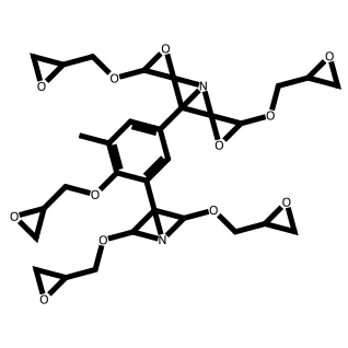 Cc1cc(C23N(C24OC4OCC2CO2)C32OC2OCC2CO2)cc(C23C(OCC4CO4)N2C3OCC2CO2)c1OCC1CO1